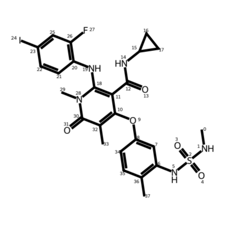 CNS(=O)(=O)Nc1cc(Oc2c(C(=O)NC3CC3)c(Nc3ccc(I)cc3F)n(C)c(=O)c2C)ccc1C